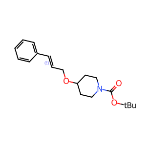 CC(C)(C)OC(=O)N1CCC(OC/C=C/c2ccccc2)CC1